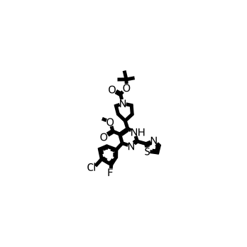 COC(=O)C1=C(C2CCN(C(=O)OC(C)(C)C)CC2)NC(c2nccs2)=NC1c1ccc(Cl)c(F)c1